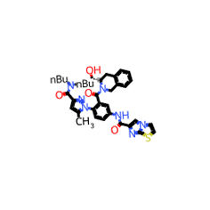 CCCCN(CCCC)C(=O)c1cc(C)n(-c2ccc(NC(=O)c3cn4ccsc4n3)cc2C(=O)N2Cc3ccccc3C[C@H]2CO)n1